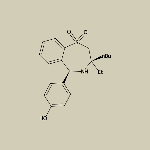 CCCC[C@]1(CC)CS(=O)(=O)c2ccccc2[C@H](c2ccc(O)cc2)N1